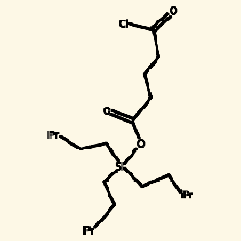 CC(C)CC[Si](CCC(C)C)(CCC(C)C)OC(=O)CCCC(=O)Cl